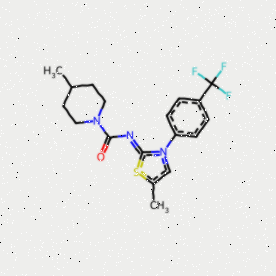 Cc1cn(-c2ccc(C(F)(F)F)cc2)c(=NC(=O)N2CCC(C)CC2)s1